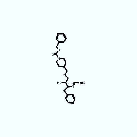 O=B/C=N/C(Cc1ccccc1)C(O)CNCC1CCN(C(=O)OCc2ccccc2)CC1